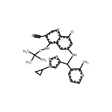 Cc1ncccc1C(Nc1cc(Cl)c2ncc(C#N)c(NCC(C)(C)C)c2c1)c1cn(C2CC2)nn1